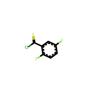 Fc1ccc(F)c(C(=S)Cl)c1